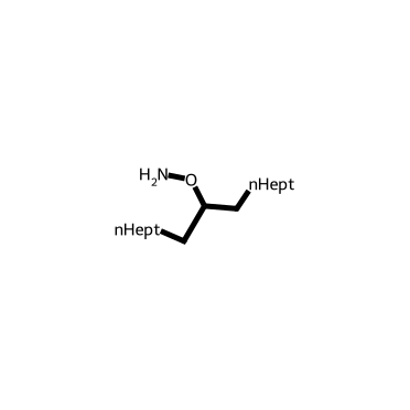 CCCCCCCCC(CCCCCCCC)ON